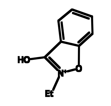 CC[n+]1oc2ccccc2c1O